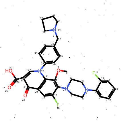 COc1c(N2CCN(c3ccccc3F)CC2)c(F)cc2c(=O)c(C(=O)O)cn(-c3ccc(CN4CCCC4)cc3)c12